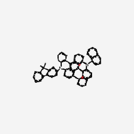 CC1(C)c2ccccc2-c2ccc(N(C3=C(c4ccc(-c5ccccc5N(c5ccccc5)c5cccc6ccccc56)cc4)C=CCC3)c3ccc(-c4ccccc4)cc3)cc21